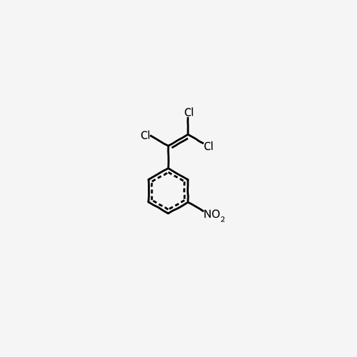 O=[N+]([O-])c1cccc(C(Cl)=C(Cl)Cl)c1